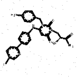 Cc1ccc(Cn2c(Nc3ccc(-c4ccc(Cl)cn4)cc3)cc(=O)n(C[C@H](C)C(N)=O)c2=O)cc1